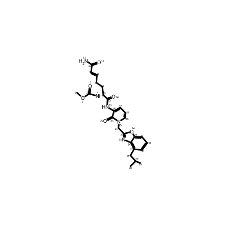 COC(=O)NC(CCC=CC(N)=O)C(=O)Nc1cccn(Cc2nc3c(CC(C)C)cccc3o2)c1=O